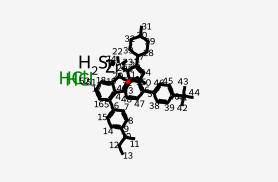 CCC1=Cc2c(-c3ccc(C(C)CC)cc3)cccc2[CH]1[Zr]([CH3])([CH3])(=[SiH2])[CH]1C(C2CCC(C)CC2)=Cc2c(-c3ccc(C(C)(C)C)cc3)cccc21.Cl.Cl